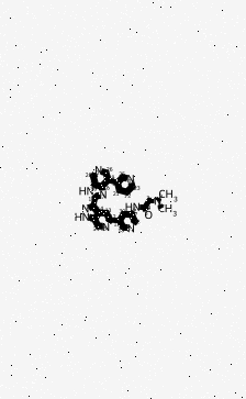 CN(C)CC(=O)Nc1cncc(-c2cc3c(-c4nc5c(-c6cccnc6)cncc5[nH]4)n[nH]c3cn2)c1